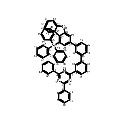 c1ccc(-c2nc(-c3ccccc3)nc(-c3cccc(-c4cccc(-c5cc([Si](c6ccccc6)(c6ccccc6)c6ccccc6)c6c(c5)oc5ccccc56)c4)c3)n2)cc1